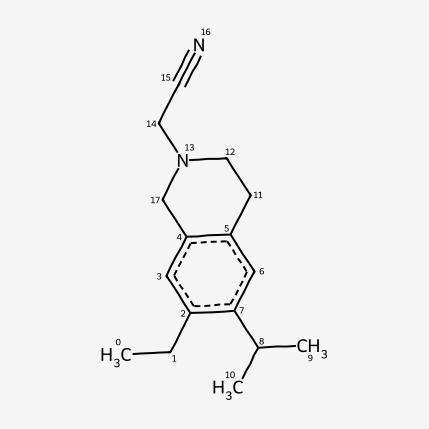 CCc1cc2c(cc1C(C)C)CCN(CC#N)C2